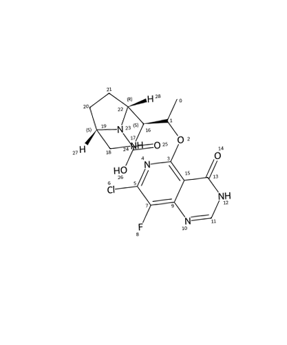 CC(Oc1nc(Cl)c(F)c2nc[nH]c(=O)c12)[C@H]1NC[C@@H]2CC[C@H]1N2C(=O)O